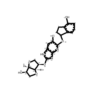 Oc1cccc2c1CCC2Oc1nc2nc(O[C@@H]3CO[C@H]4[C@@H]3OC[C@H]4O)[nH]c2cc1Cl